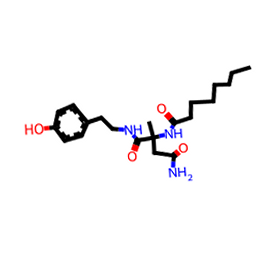 CCCCCCCC(=O)NC(C)(CC(N)=O)C(=O)NCCc1ccc(O)cc1